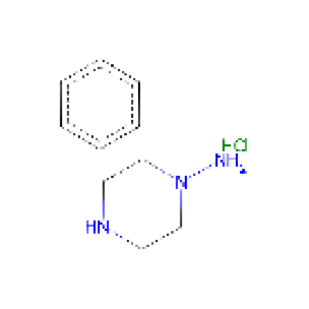 Cl.NN1CCNCC1.c1ccccc1